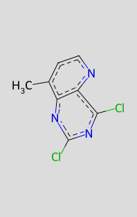 Cc1ccnc2c(Cl)nc(Cl)nc12